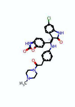 CN1CCN(C(=O)Cc2ccc(N/C(=C3\C(=O)Nc4cc(Cl)ccc43)c3ccc4[nH]c(=O)oc4c3)cc2)CC1